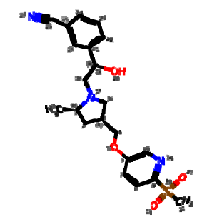 C[C@@H]1C[C@H](COc2ccc(S(C)(=O)=O)nc2)CN1C[C@H](O)c1cccc(C#N)c1